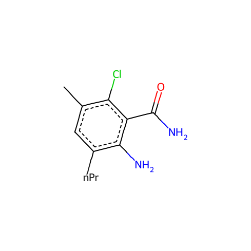 CCCc1cc(C)c(Cl)c(C(N)=O)c1N